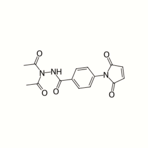 CC(=O)N(NC(=O)c1ccc(N2C(=O)C=CC2=O)cc1)C(C)=O